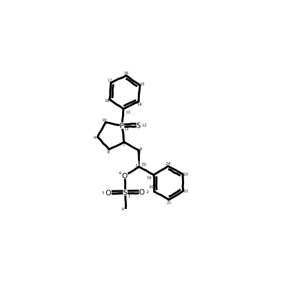 CS(=O)(=O)O[C@@H](CC1CCCP1(=S)c1ccccc1)c1ccccc1